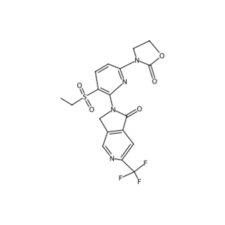 CCS(=O)(=O)c1ccc(N2CCOC2=O)nc1N1Cc2cnc(C(F)(F)F)cc2C1=O